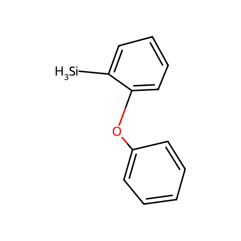 [SiH3]c1ccccc1Oc1ccccc1